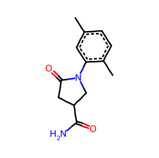 Cc1ccc(C)c(N2CC(C(N)=O)CC2=O)c1